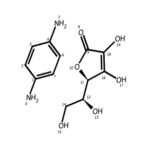 Nc1ccc(N)cc1.O=C1O[C@H]([C@@H](O)CO)C(O)=C1O